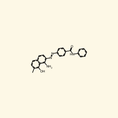 Cc1ccc2ccc(N=Nc3ccc(C(=O)Nc4ccccc4)cc3)c(N)c2c1O